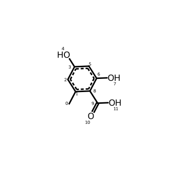 Cc1cc(O)cc(O)c1C(=O)O